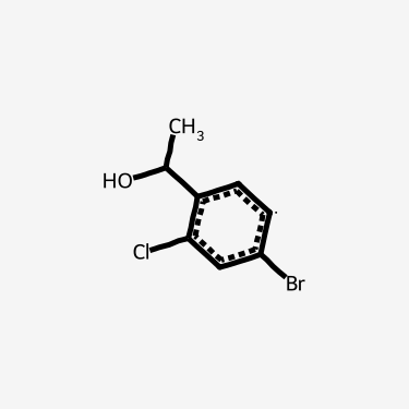 CC(O)c1c[c]c(Br)cc1Cl